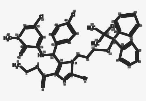 CCOC(=O)c1nc(Br)n(CCCO[Si](c2ccccc2)(c2ccccc2)C(C)(C)C)c1C(Nc1cc(Cl)cn(C)c1=O)c1ccc(Cl)cc1